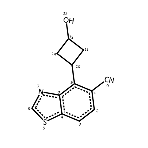 N#Cc1ccc2scnc2c1C1CC(O)C1